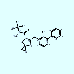 O=C([C@H](O)C(F)(F)F)N1CC2(CC2)C[C@@H]1Cc1cccc(-c2ccccc2)c1F